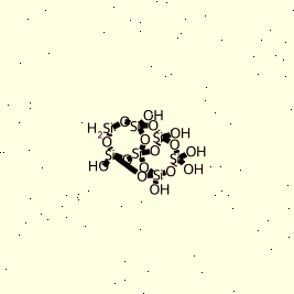 O[Si]1(O)O[Si]2(O)O[Si]3(O)O[SiH2]O[Si]4(O)O[Si](O)(O1)O[Si](O3)(O4)O2